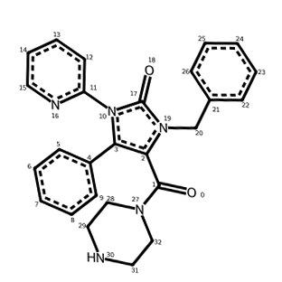 O=C(c1c(-c2ccccc2)n(-c2ccccn2)c(=O)n1Cc1ccccc1)N1CCNCC1